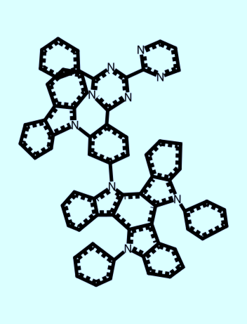 c1ccc(-c2nc(-c3ncccn3)nc(-c3ccc(-n4c5ccccc5c5c6c(c7ccccc7n6-c6ccccc6)c6c(c7ccccc7n6-c6ccccc6)c54)cc3-n3c4ccccc4c4ccccc43)n2)cc1